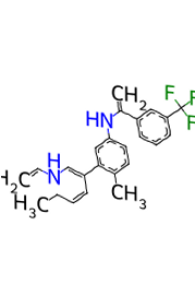 C=CN/C=C(\C=C/CC)c1cc(NC(=C)c2cccc(C(F)(F)F)c2)ccc1C